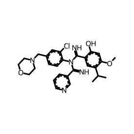 COc1cc(O)c(C(=N)N(C(=N)c2cccnc2)c2ccc(CN3CCOCC3)cc2Cl)cc1C(C)C